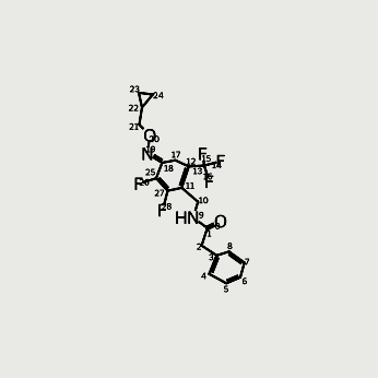 O=C(Cc1ccccc1)NCC1=C(C(F)(F)F)CC(=NOCC2CC2)C(F)=C1F